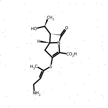 C/C(=C\CN)SC1=C(C(=O)O)N2C(=O)[C@@H]([C@H](C)O)[C@H]2C1